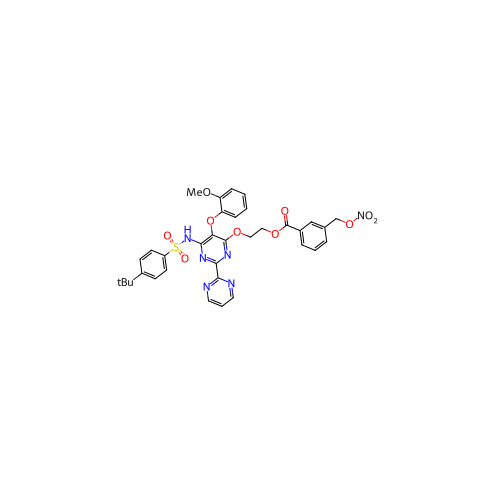 COc1ccccc1Oc1c(NS(=O)(=O)c2ccc(C(C)(C)C)cc2)nc(-c2ncccn2)nc1OCCOC(=O)c1cccc(CO[N+](=O)[O-])c1